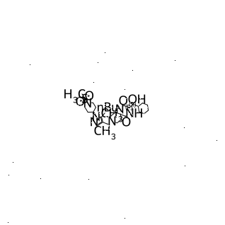 CCCCN1C(=O)[C@@H]([C@H](O)C2CCCCC2)NC(=O)C12CCN(Cc1c(C)nn(C3CCN(S(C)(=O)=O)CC3)c1C)CC2